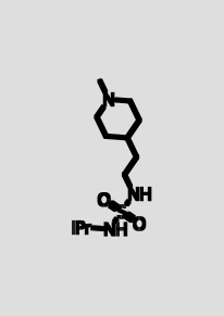 CC(C)NS(=O)(=O)NCCC1CCN(C)CC1